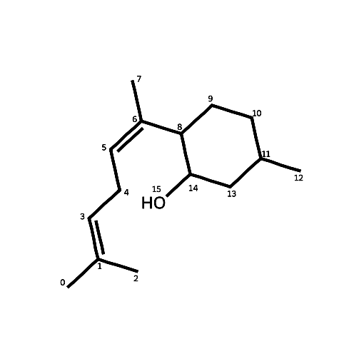 CC(C)=CC/C=C(/C)C1CCC(C)CC1O